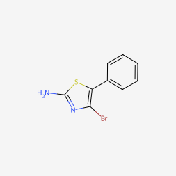 Nc1nc(Br)c(-c2ccccc2)s1